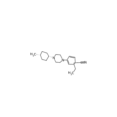 CCc1cc(N2CCN([C@H]3CC[C@@H](C)CC3)CC2)ccc1C#N